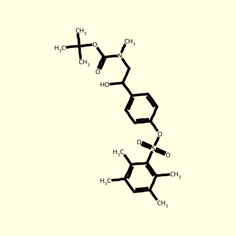 Cc1cc(C)c(C)c(S(=O)(=O)Oc2ccc(C(O)CN(C)C(=O)OC(C)(C)C)cc2)c1C